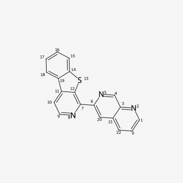 c1cnc2cnc(-c3nccc4c3sc3ccccc34)cc2c1